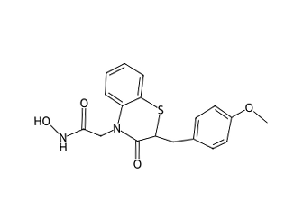 COc1ccc(CC2Sc3ccccc3N(CC(=O)NO)C2=O)cc1